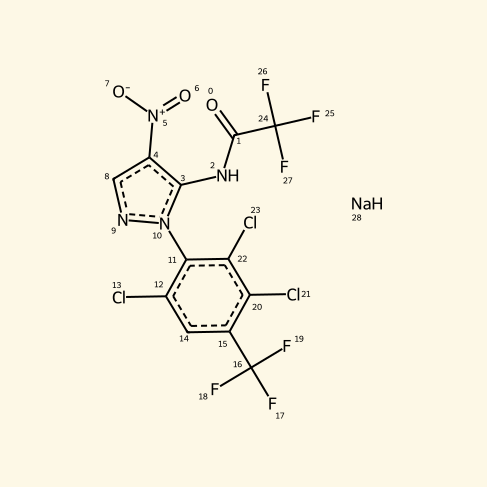 O=C(Nc1c([N+](=O)[O-])cnn1-c1c(Cl)cc(C(F)(F)F)c(Cl)c1Cl)C(F)(F)F.[NaH]